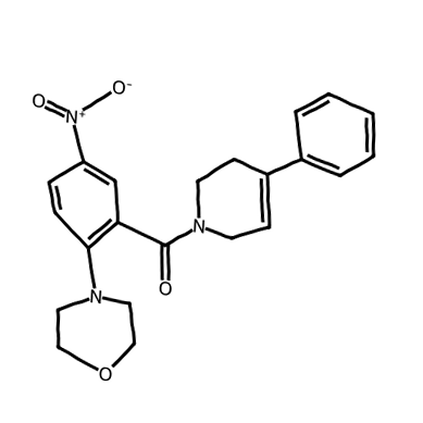 O=C(c1cc([N+](=O)[O-])ccc1N1CCOCC1)N1CC=C(c2ccccc2)CC1